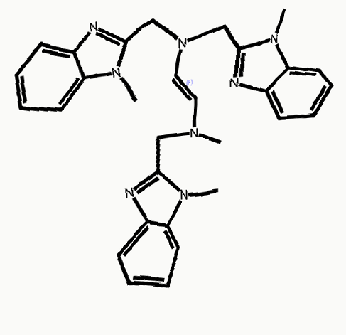 CN(/C=C/N(Cc1nc2ccccc2n1C)Cc1nc2ccccc2n1C)Cc1nc2ccccc2n1C